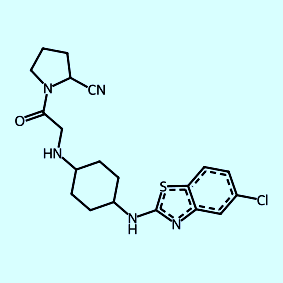 N#CC1CCCN1C(=O)CNC1CCC(Nc2nc3cc(Cl)ccc3s2)CC1